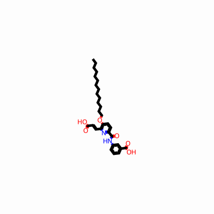 CCCCCCCCCCCCCCOc1ccc(C(=O)Nc2cccc(C(=O)O)c2)nc1C=CC(=O)O